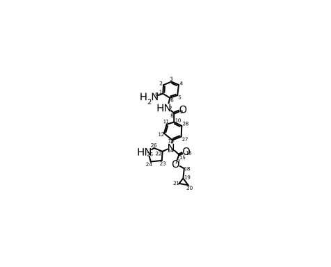 Nc1ccccc1NC(=O)c1ccc(N(C(=O)OCC2CC2)C2CCNC2)cc1